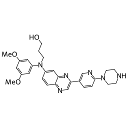 COc1cc(OC)cc(N(CCCO)c2ccc3ncc(-c4ccc(N5CCNCC5)nc4)nc3c2)c1